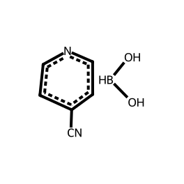 N#Cc1ccncc1.OBO